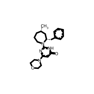 C[C@H]1CCCN(c2nc(N3CCOCC3)cc(=O)[nH]2)[C@@H](Cc2ccccc2)C1